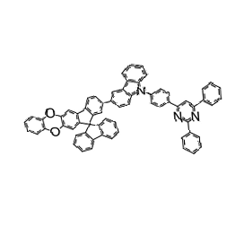 c1ccc(-c2cc(-c3ccc(-n4c5ccccc5c5cc(-c6ccc7c(c6)C6(c8ccccc8-c8ccccc86)c6cc8c(cc6-7)Oc6ccccc6O8)ccc54)cc3)nc(-c3ccccc3)n2)cc1